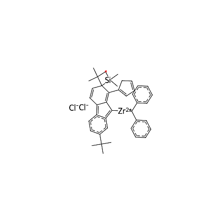 CC(C)(C)c1ccc2c(c1)=[C]([Zr+2]=[C](c1ccccc1)c1ccccc1)C1=C(C3=CC=CC3)C(C(C)(C)C)([Si](C)(C)C)C=CC=21.[Cl-].[Cl-]